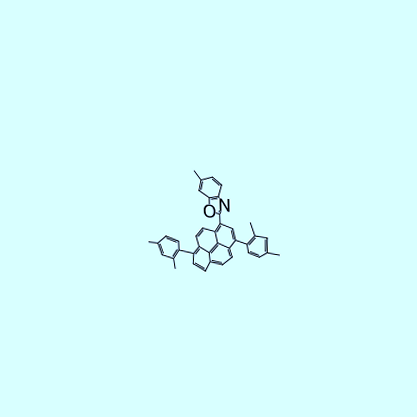 Cc1ccc(-c2ccc3ccc4c(-c5ccc(C)cc5C)cc(-c5nc6ccc(C)cc6o5)c5ccc2c3c54)c(C)c1